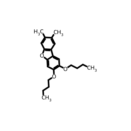 CCCCOc1cc2oc3cc(C)c(C)cc3c2cc1OCCCC